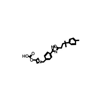 Cc1ccc(C(C)(C)CCc2nc(-c3ccc(CN4CC(OC(=O)O)C4)cc3)no2)cc1